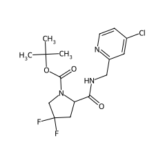 CC(C)(C)OC(=O)N1CC(F)(F)CC1C(=O)NCc1cc(Cl)ccn1